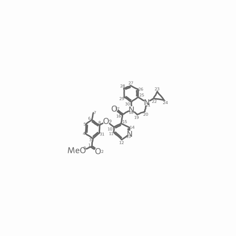 COC(=O)c1ccc(C)c(Oc2ccncc2C(=O)N2CCN(C3CC3)c3ccccc32)c1